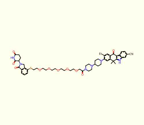 CCc1cc2c(cc1N1CCC(N3CCN(C(=O)COCCOCCOCCOCCOCCSc4cccc5c4CN(C4CCC(=O)NC4=O)C5=O)CC3)CC1)C(C)(C)c1[nH]c3cc(C#N)ccc3c1C2=O